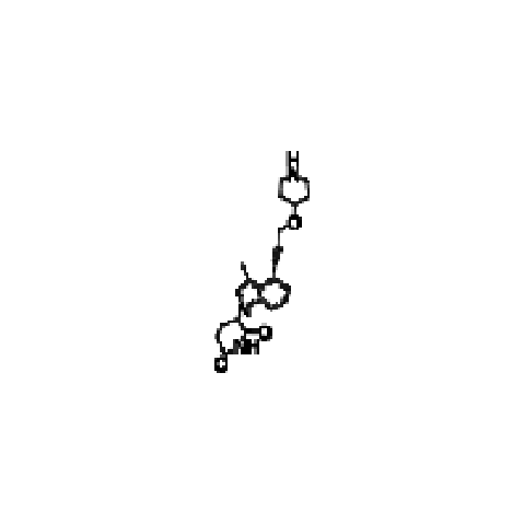 Cc1cn(C2CCC(=O)NC2=O)c2cccc(C#CCOC3CCNCC3)c12